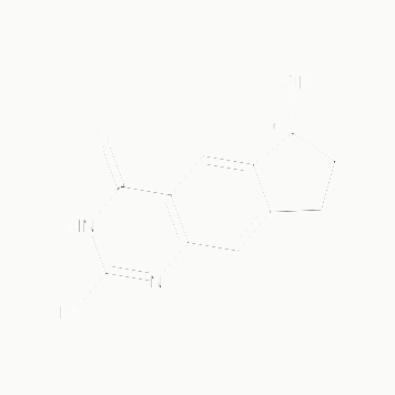 CCc1nc2cc3c(cc2c(=O)[nH]1)[C@H](O)CC3